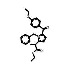 CCOC(=O)C(C)c1ccc(C(=O)c2ccc(OCC)cc2)n1Cc1ccccc1